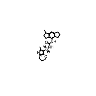 Cc1nn2c(c1S(=O)(=O)NC(=O)Nc1c3c(cc4c1CCC4C)CCC3)OCCC2